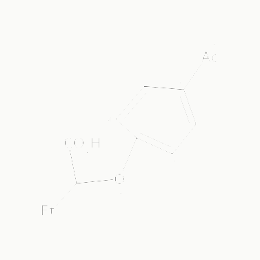 CCC(Oc1ccc(C(C)=O)cc1)C(=O)O